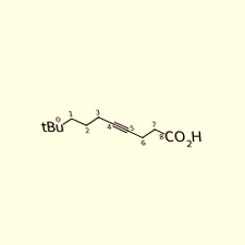 CC(C)(C)CCCC#CCCC(=O)O